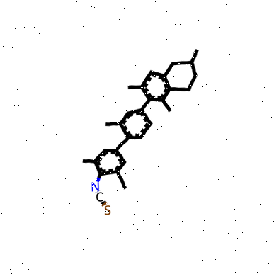 Cc1cc(-c2c(C)cc3c(c2C)CCC(C)C3)ccc1-c1cc(C)c(N=C=S)c(C)c1